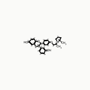 C[C@@H]1CCCN1[C@@H](C)COc1ccc([C@@H]2Oc3ccc(O)cc3S[C@@H]2c2cccc(O)c2)cc1